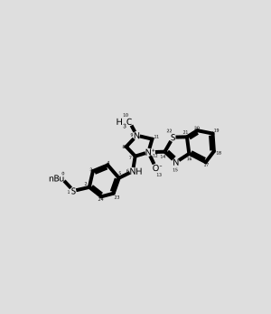 CCCCSc1ccc(NC2CN(C)C[N+]2([O-])c2nc3ccccc3s2)cc1